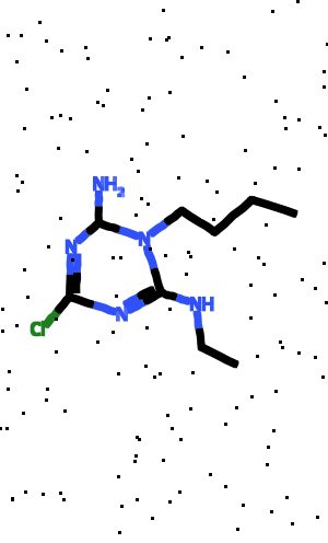 CCCCN1C(NCC)=NC(Cl)=NC1N